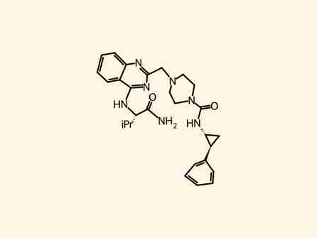 CC(C)[C@H](Nc1nc(CN2CCN(C(=O)N[C@@H]3C[C@H]3c3ccccc3)CC2)nc2ccccc12)C(N)=O